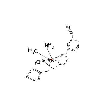 CN1C(=O)C2(N=C1N)c1cc(-c3cccc(C#N)c3)ccc1CC21CCc2ccccc2C1